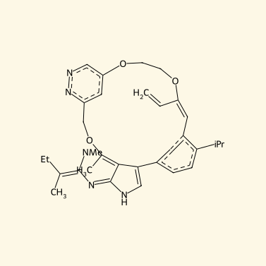 C=C/C1=C\c2cc(ccc2C(C)C)C2=CNC(=N/C(NC)=C(\C)CC)/C2=C(\C)OCc2cc(cnn2)OCCO1